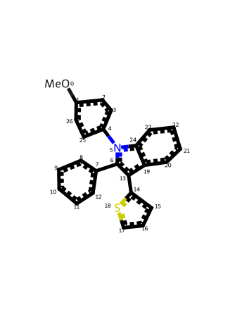 COc1ccc(-n2c(-c3ccccc3)c(-c3cccs3)c3ccccc32)cc1